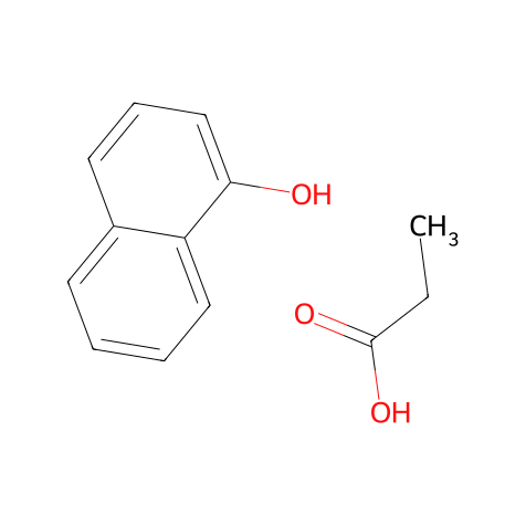 CCC(=O)O.Oc1cccc2ccccc12